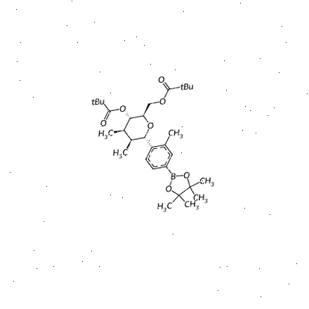 Cc1cc(B2OC(C)(C)C(C)(C)O2)ccc1[C@H]1O[C@H](COC(=O)C(C)(C)C)[C@@H](OC(=O)C(C)(C)C)[C@H](C)[C@@H]1C